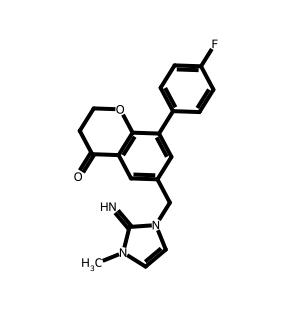 Cn1ccn(Cc2cc3c(c(-c4ccc(F)cc4)c2)OCCC3=O)c1=N